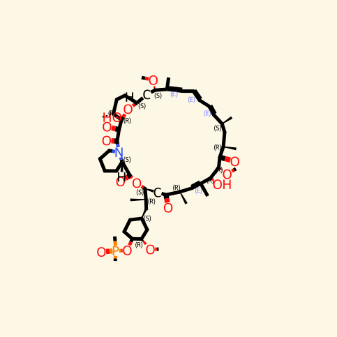 CO[C@H]1C[C@@H]2CC[C@@H](C)[C@@](O)(O2)C(=O)C(=O)N2CCCC[C@H]2C(=O)O[C@H]([C@H](C)C[C@@H]2CCC(OP(C)(C)=O)[C@H](OC)C2)CC(=O)[C@H](C)/C=C(\C)[C@@H](O)[C@@H](OC)C(=O)[C@H](C)C[C@H](C)/C=C/C=C/C=C/1C